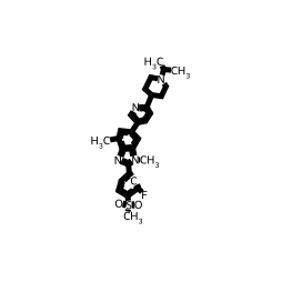 Cc1cc(-c2ccc(C3CCN(C(C)C)CC3)nc2)cc2c1nc(-c1ccc(S(C)(=O)=O)c(F)c1)n2C